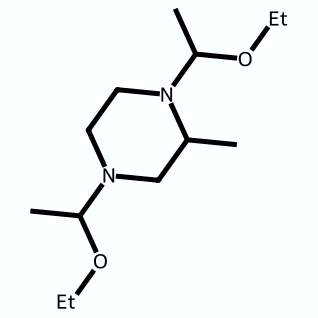 CCOC(C)N1CCN(C(C)OCC)C(C)C1